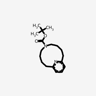 CC(C)(C)OC(=O)N1CCCCc2cccc(n2)CCCC1